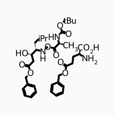 CC(C)C[C@H](NOC(=O)[C@H](C)NC(=O)OC(C)(C)C)[C@@H](O)CC(=O)OCc1ccccc1.N[C@@H](CCC(=O)OCc1ccccc1)C(=O)O